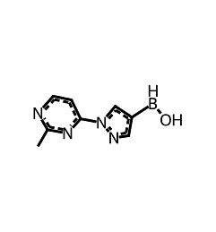 Cc1nccc(-n2cc(BO)cn2)n1